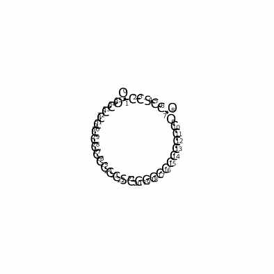 O=C1CCSCCC(=O)OCCCCCCCCCCCCSCCCCCCCCCCCCO1